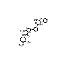 CC(C)(C)C1CC(NC(=O)c2nc(-c3cccc(C(=O)N[C@@H]4c5ccccc5C[C@@H]4O)c3)cnc2N)CCCN1C(=O)O